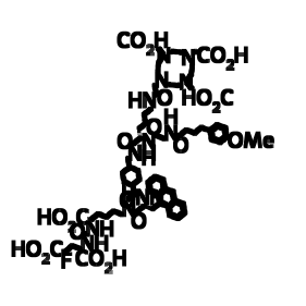 COc1ccc(CCCC(=O)NCC(=O)N[C@@H](CCCCNC(=O)CN2CCN(CC(=O)O)CCN(CC(=O)O)CCN(CC(=O)O)CC2)C(=O)NCC2CCC(C(=O)N[C@@H](Cc3c4ccccc4cc4ccccc34)C(=O)NCCCC[C@H](NC(=O)N[C@@H](C[C@@H](F)C(=O)O)C(=O)O)C(=O)O)CC2)cc1